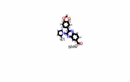 CC[C@H]1CCCN1c1nc2cc(C(=O)OC)ccc2nc1-c1ccc2c(c1)OCO2